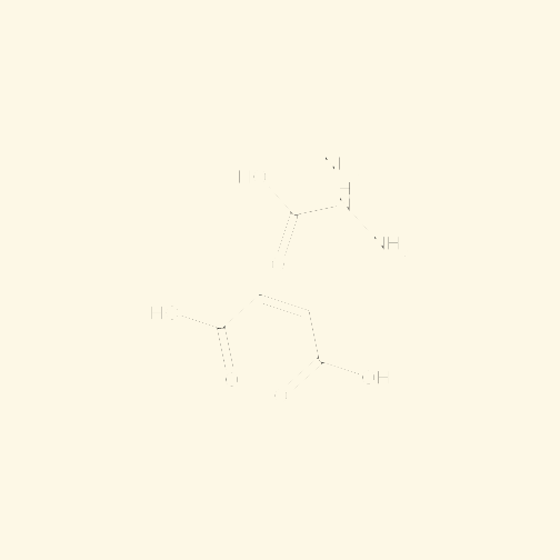 N.NNC(=O)O.O=C(O)/C=C\C(=O)O